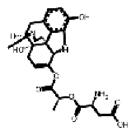 C[C@H](OC(=O)[C@@H](N)CC(=O)O)C(=O)OC1=CC[C@@]2(O)[C@H]3Cc4ccc(O)c5c4[C@@]2(CCN3C)[C@H]1O5